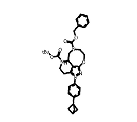 CC(C)(C)OC(=O)N1CCc2c3c(nn2-c2ccc(C45CC(C4)C5)cc2)OCCN(C(=O)OCc2ccccc2)C[C@@H]31